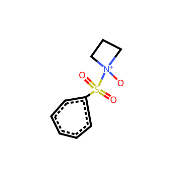 O=S(=O)(c1ccccc1)[N+]1([O-])CCC1